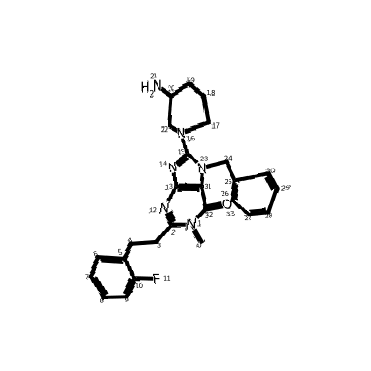 Cn1c(CCc2ccccc2F)nc2nc(N3CCCC(N)C3)n(Cc3ccccc3)c2c1=O